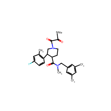 CNC(=O)C(=O)N1CCC(C(=O)N(C)Cc2cc(C(F)(F)F)cc(C(F)(F)F)c2)C(c2ccc(F)cc2C)C1